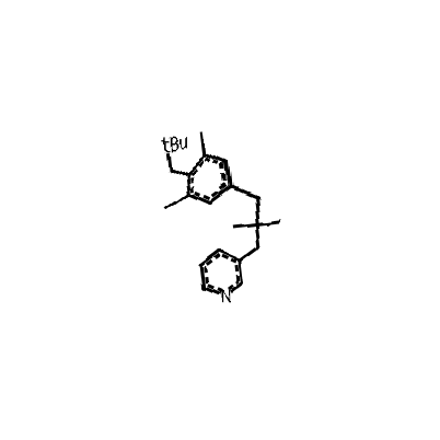 Cc1cc(CC(C)(C)Cc2cccnc2)cc(C)c1CC(C)(C)C